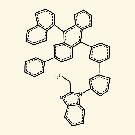 CCc1nc2ccccc2n1-c1cccc(-c2cccc(-c3c4ccccc4c(-c4cccc5ccccc45)c4cc(-c5ccccc5)ccc34)c2)c1